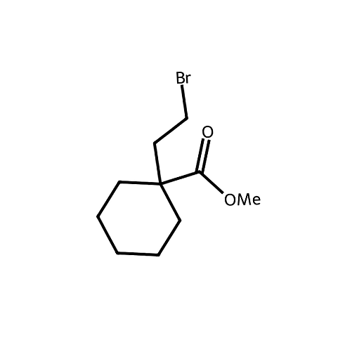 COC(=O)C1(CCBr)CCCCC1